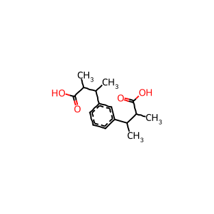 CC(C(=O)O)C(C)c1cccc(C(C)C(C)C(=O)O)c1